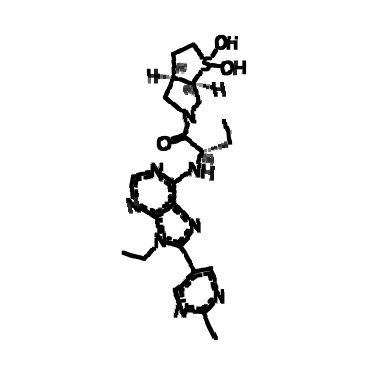 CC[C@H](Nc1ncnc2c1nc(-c1cnc(C)nc1)n2CC)C(=O)N1C[C@H]2CCS(O)(O)[C@H]2C1